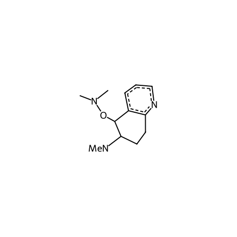 CNC1CCc2ncccc2C1ON(C)C